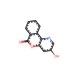 O=c1oc2cc(O)cnc2c2ccccc12